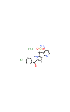 Cc1cc(C(C)(c2cccnc2)S(N)(=O)=O)n(C)c1C(=O)c1ccc(Cl)cc1.Cl